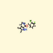 Cc1[nH]c2c(OCc3cccc(F)c3F)nccc2c1C